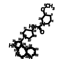 COC1CCCN(C(=O)NC2CCN(c3c[nH]c4ncc5ncccc5c34)CC2)C1